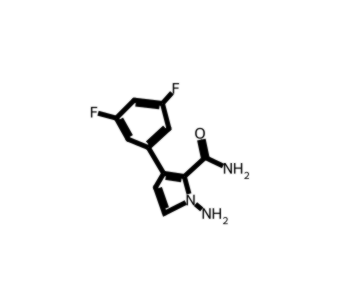 NC(=O)c1c(-c2cc(F)cc(F)c2)ccn1N